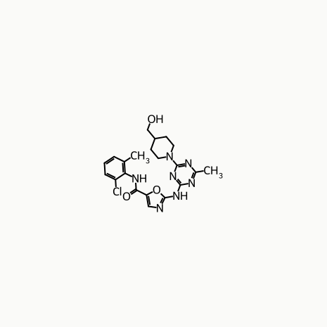 Cc1nc(Nc2ncc(C(=O)Nc3c(C)cccc3Cl)o2)nc(N2CCC(CO)CC2)n1